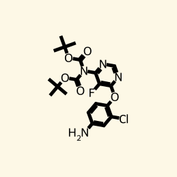 CC(C)(C)OC(=O)N(C(=O)OC(C)(C)C)c1ncnc(Oc2ccc(N)cc2Cl)c1F